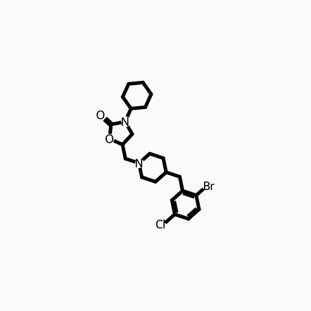 O=C1OC(CN2CCC(Cc3cc(Cl)ccc3Br)CC2)CN1C1CCCCC1